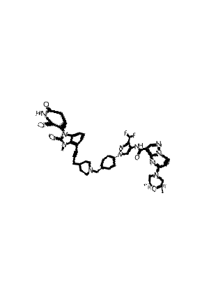 C[C@@H]1CN(c2ccn3ncc(C(=O)Nc4cn([C@H]5CC[C@H](CN6CCC(CC#Cc7cccc8c7n(C)c(=O)n8C7CCC(=O)NC7=O)CC6)CC5)nc4C(F)F)c3n2)C[C@@H](C)O1